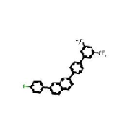 Fc1ccc(-c2ccc3ccc(-c4ccc(-c5cc(C(F)(F)F)cc(C(F)(F)F)c5)cc4)cc3c2)cc1